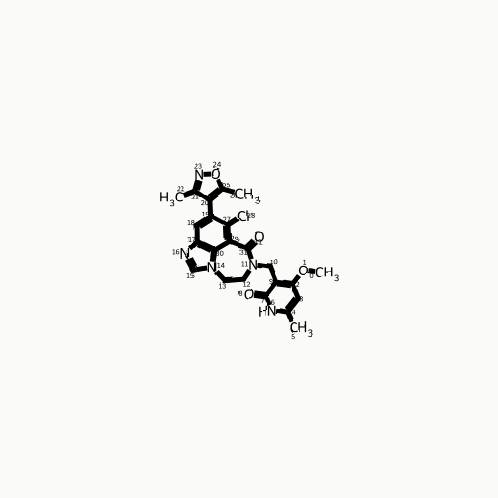 COc1cc(C)[nH]c(=O)c1CN1CCn2cnc3cc(-c4c(C)noc4C)c(Cl)c(c32)C1=O